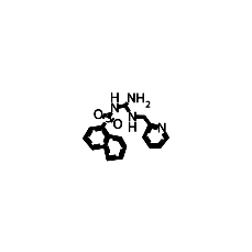 NC(NCc1ccccn1)NS(=O)(=O)c1cccc2ccccc12